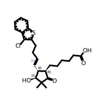 CC1(C)C(=O)[C@H](CCCCCC(=O)O)[C@@H](/C=C/CCc2sc3ccccc3c2Cl)[C@@H]1O